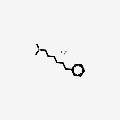 CN(C)CCCCCCc1ccccc1.O